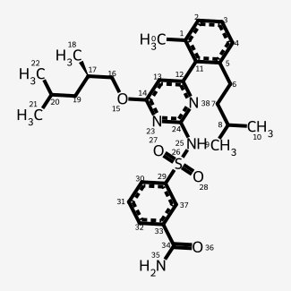 Cc1cccc(CCC(C)C)c1-c1cc(OC[C@H](C)CC(C)C)nc(NS(=O)(=O)c2cccc(C(N)=O)c2)n1